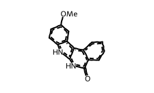 COc1ccc2[nH]c3[nH]c(=O)c4ccccc4c3c2c1